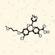 COCCCOc1cc2c(cc1Cl)-c1cc(=O)c(C(=O)O)cn1C(c1cnsc1)O2